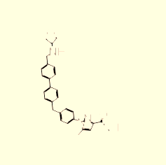 Cc1cc(C(N)=O)nn1-c1ccc(Cc2ccc(-c3ccc(CNC4COC4)cc3)cc2)cc1